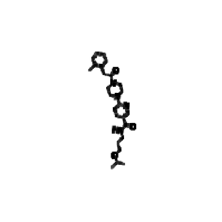 Cc1ccccc1CC(=O)N1CCN(c2ccc(C(=O)NCCCOC(C)C)cn2)CC1